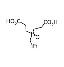 CC(C)CP(=O)(CCC(=O)O)CCC(=O)O